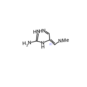 CN/C=C(\C=N)NC(=N)N